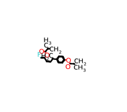 C=C(C)C(=O)OC(/C=C\C(=C)c1ccc(OC(=O)C(=C)C)cc1)=C\F